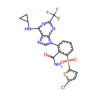 NC(=O)c1c(-n2cnc3c(NC4CC4)nc(C(F)(F)F)nc32)cccc1S(=O)(=O)c1ccc(Cl)s1